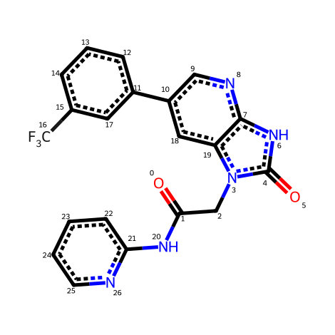 O=C(Cn1c(=O)[nH]c2ncc(-c3cccc(C(F)(F)F)c3)cc21)Nc1ccccn1